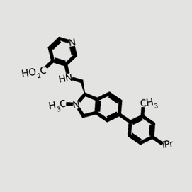 Cc1cc(C(C)C)ccc1-c1ccc2c(c1)CN(C)[C@H]2CNc1cnccc1C(=O)O